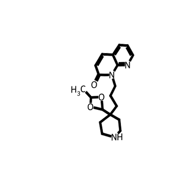 CC1OC(C2(CCCn3c(=O)ccc4cccnc43)CCNCC2)O1